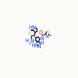 C=c1[nH]cc/c1=C(/C(F)=C\N)c1cc(NC(=O)c2csc(C)n2)c2cn[nH]c2c1